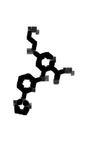 NCCNc1cnc(C(N)=O)c(Nc2cccc(-n3nccn3)n2)c1